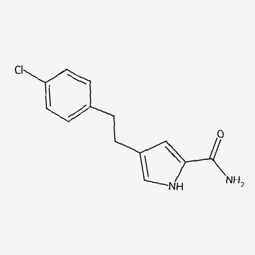 NC(=O)c1cc(CCc2ccc(Cl)cc2)c[nH]1